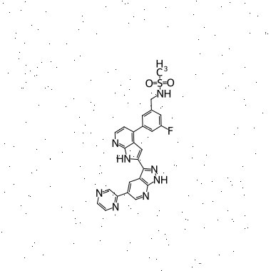 CS(=O)(=O)NCc1cc(F)cc(-c2ccnc3[nH]c(-c4n[nH]c5ncc(-c6cnccn6)cc45)cc23)c1